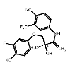 C=C(Nc1ccc(C#N)c(C(F)(F)F)c1)[C@@](C)(O)COc1ccc(C#N)c(F)c1